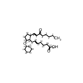 CCCCCC(=O)C=CC1CCC(OC2CCCCO2)C1CC=CCCCC(=O)O